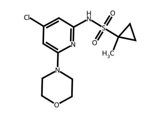 CC1(S(=O)(=O)Nc2cc(Cl)cc(N3CCOCC3)n2)CC1